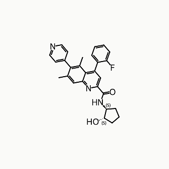 Cc1cc2nc(C(=O)N[C@H]3CCC[C@@H]3O)cc(-c3ccccc3F)c2c(C)c1-c1ccncc1